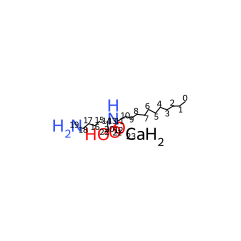 CCCCCCCCCCCC(=O)N[C@@H](CCCCN)C(=O)O.[CaH2]